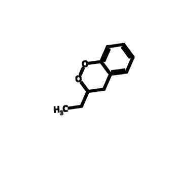 CCC1Cc2ccccc2OO1